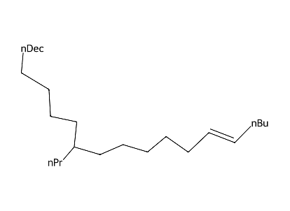 [CH2]CCCC=CCCCCCC(CCC)CCCCCCCCCCCCC[CH2]